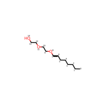 CCCCCCC=COCCOCCO